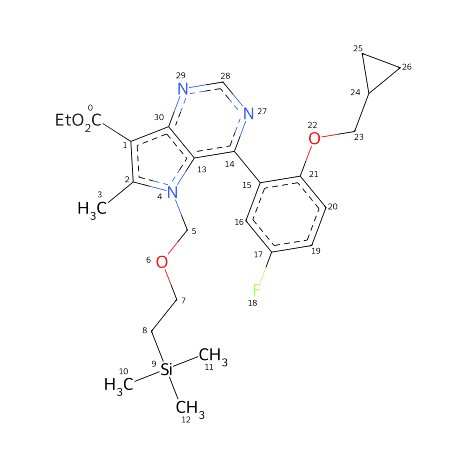 CCOC(=O)c1c(C)n(COCC[Si](C)(C)C)c2c(-c3cc(F)ccc3OCC3CC3)ncnc12